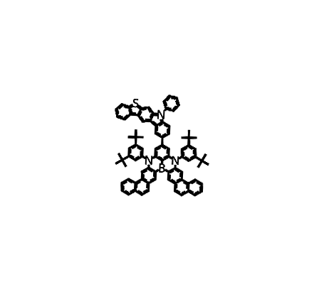 CC(C)(C)c1cc(N2c3cc4c(ccc5ccccc54)cc3B3c4cc5ccc6ccccc6c5cc4N(c4cc(C(C)(C)C)cc(C(C)(C)C)c4)c4cc(-c5ccc6c(c5)c5cc7c(cc5n6-c5ccccc5)sc5ccccc57)cc2c43)cc(C(C)(C)C)c1